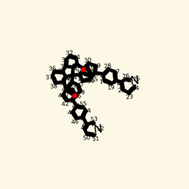 c1ccc(C2(c3ccccc3)c3c(-c4ccc(-c5ccc(-c6cccnc6)cc5)cc4)cccc3-c3cccc(-c4ccc(-c5ccc(-c6cccnc6)cc5)cc4)c32)cc1